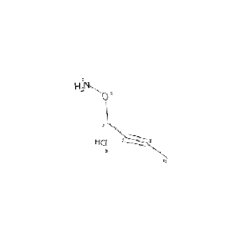 CC#CCON.Cl